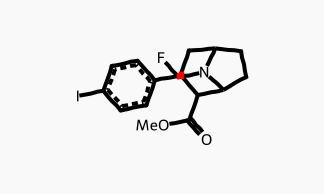 COC(=O)C1C(c2ccc(I)cc2)CC2CCC1N2CF